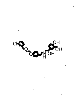 OCc1cc([C@@H](O)CNCCc2ccc(OCCOCc3cccc(Cl)c3)cc2)ccc1O